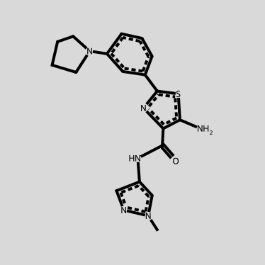 Cn1cc(NC(=O)c2nc(-c3cccc(N4CCCC4)c3)sc2N)cn1